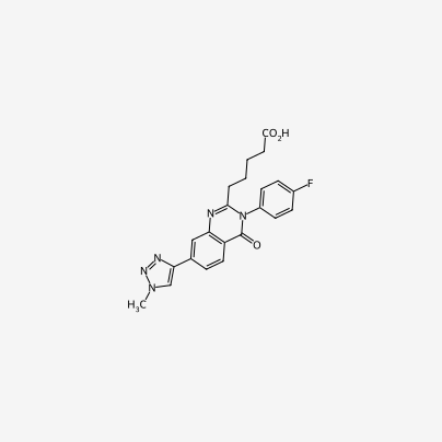 Cn1cc(-c2ccc3c(=O)n(-c4ccc(F)cc4)c(CCCCC(=O)O)nc3c2)nn1